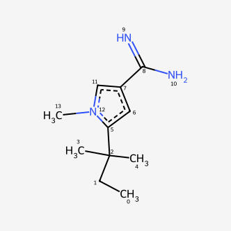 CCC(C)(C)c1cc(C(=N)N)cn1C